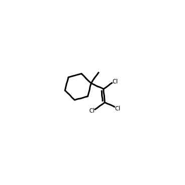 CC1(C(Cl)=C(Cl)Cl)CCCCC1